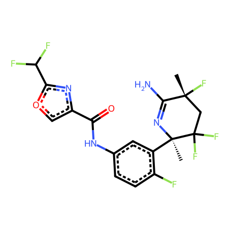 C[C@@]1(F)CC(F)(F)[C@@](C)(c2cc(NC(=O)c3coc(C(F)F)n3)ccc2F)N=C1N